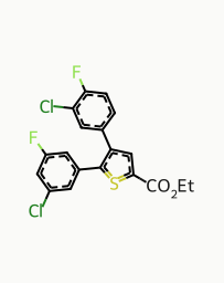 CCOC(=O)c1cc(-c2ccc(F)c(Cl)c2)c(-c2cc(F)cc(Cl)c2)s1